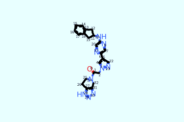 O=C(Cn1cc(-c2cnc(NC3Cc4ccccc4C3)cn2)cn1)N1CCc2[nH]nnc2C1